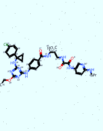 CCCNc1ccc(NC(=O)C(=O)NCC[C@H](NC(=O)c2ccc(Nc3nc(NC4(c5ccc(Cl)cc5)CC4)nc(OCC(F)(F)F)n3)cc2)C(=O)O)cn1